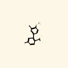 CCCC(CC)c1ccc(Cl)cc1-c1ccc(OCC)c(Cl)c1